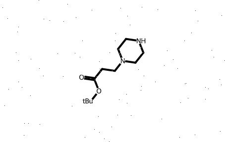 CC(C)(C)OC(=O)[CH]CN1CCNCC1